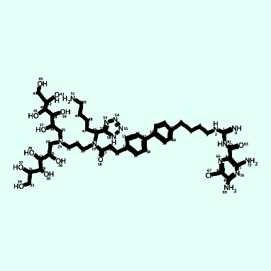 N=C(NCCCCc1ccc(-c2ccc(CCC(=O)N(CCCN(CC(O)C(O)C(O)C(O)CO)CC(O)C(O)C(O)C(O)CO)C(CCCCN)c3nnn[nH]3)cc2)cc1)NC(=O)c1nc(Cl)c(N)nc1N